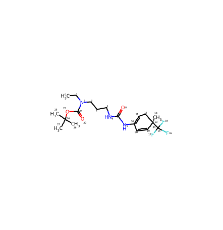 CCN(CCCNC(=O)NC1=CC[C@@](C)(C(F)(F)F)C=C1)C(=O)OC(C)(C)C